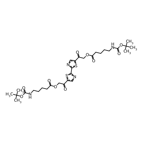 CC(C)(C)OC(=O)NCCCCC(=O)OCC(=O)c1cnc(-c2ncc(C(=O)COC(=O)CCCCNC(=O)OC(C)(C)C)s2)s1